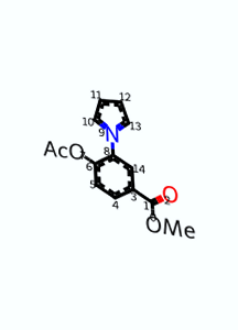 COC(=O)c1ccc(OC(C)=O)c(-n2cccc2)c1